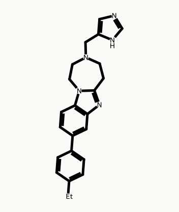 CCc1ccc(-c2ccc3c(c2)nc2n3CCN(Cc3cnc[nH]3)CC2)cc1